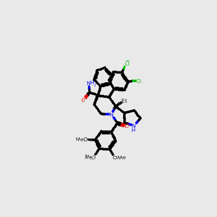 CCC1(C2CCNC2)C(c2ccc(Cl)c(Cl)c2)C(C(N)=O)(c2ccccc2)CCN1C(=O)c1cc(OC)c(OC)c(OC)c1